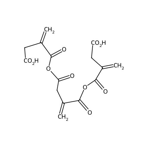 C=C(CC(=O)O)C(=O)OC(=O)CC(=C)C(=O)OC(=O)C(=C)CC(=O)O